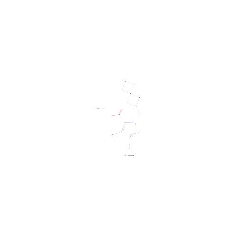 CCOC(=O)c1c(C(F)(F)F)c(C2CC2)nn1CC1CC2(C1)CC(F)(F)C2